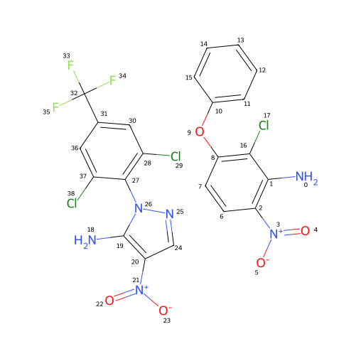 Nc1c([N+](=O)[O-])ccc(Oc2ccccc2)c1Cl.Nc1c([N+](=O)[O-])cnn1-c1c(Cl)cc(C(F)(F)F)cc1Cl